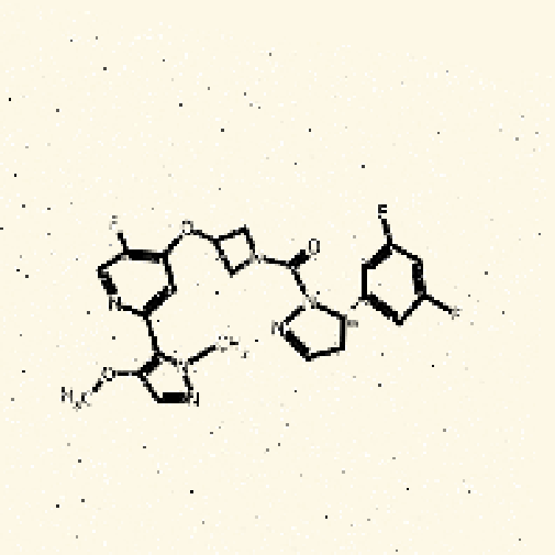 COc1cnn(C)c1-c1cc(OC2CN(C(=O)N3N=CC[C@H]3c3cc(F)cc(F)c3)C2)c(F)cn1